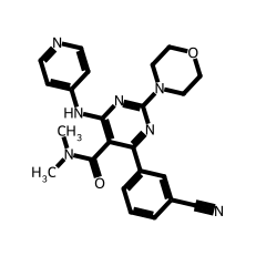 CN(C)C(=O)c1c(Nc2ccncc2)nc(N2CCOCC2)nc1-c1cccc(C#N)c1